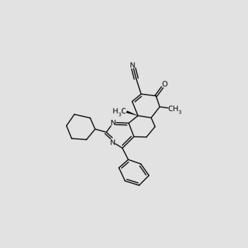 CC1C(=O)C(C#N)=C[C@@]2(C)c3nc(C4CCCCC4)nc(-c4ccccc4)c3CCC12